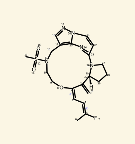 C=C1/C(=C\C=C(/C)F)OCCN(S(C)(=O)=O)Cc2cnn3ccc(nc23)N2CCC[C@H]12